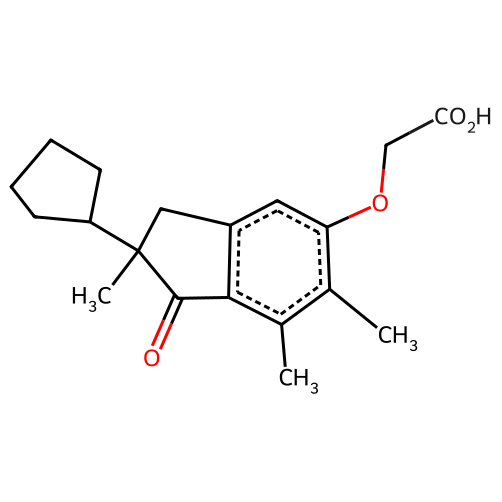 Cc1c(OCC(=O)O)cc2c(c1C)C(=O)C(C)(C1CCCC1)C2